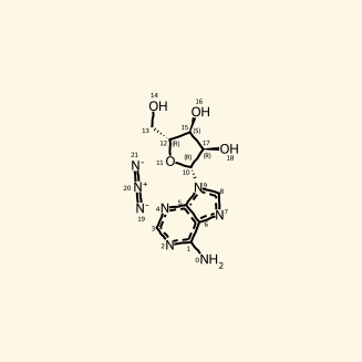 Nc1ncnc2c1ncn2[C@@H]1O[C@H](CO)[C@@H](O)[C@H]1O.[N-]=[N+]=[N-]